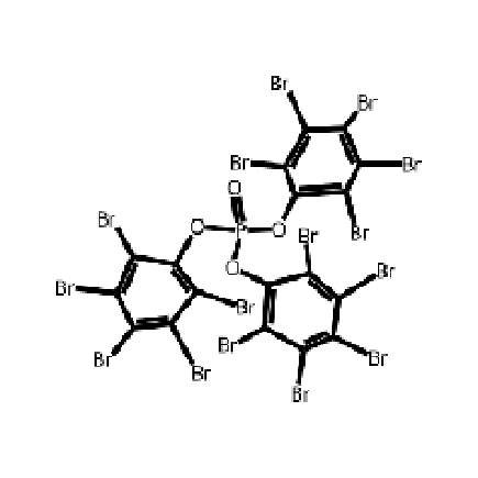 O=P(Oc1c(Br)c(Br)c(Br)c(Br)c1Br)(Oc1c(Br)c(Br)c(Br)c(Br)c1Br)Oc1c(Br)c(Br)c(Br)c(Br)c1Br